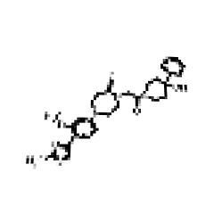 COc1cc(N2CCC(=O)N(CC(=O)N3CCC(O)(c4ccccc4)CC3)CC2)ccc1-c1cnc(C)o1